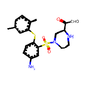 Cc1ccc(C)c(Sc2ccc(N)cc2S(=O)(=O)N2CCNC(C(=O)C=O)C2)c1